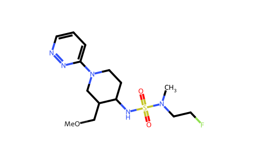 COCC1CN(c2cccnn2)CCC1NS(=O)(=O)N(C)CCF